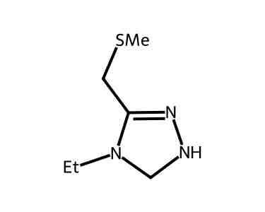 CCN1CNN=C1CSC